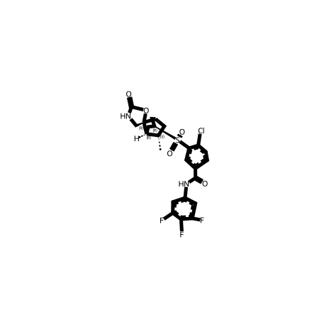 C[C@H]1CC2C[C@@H](S(=O)(=O)c3cc(C(=O)Nc4cc(F)c(F)c(F)c4)ccc3Cl)C[C@H]1[C@@]21CNC(=O)O1